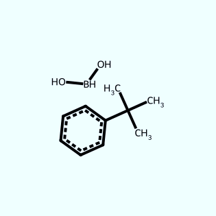 CC(C)(C)c1ccccc1.OBO